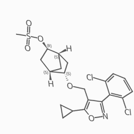 CS(=O)(=O)O[C@@H]1C[C@@H]2C[C@H]1C[C@@H]2OCc1c(-c2c(Cl)cccc2Cl)noc1C1CC1